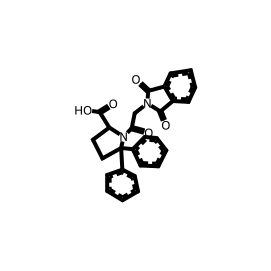 O=C(O)C1CCC(c2ccccc2)(c2ccccc2)N1C(=O)CN1C(=O)c2ccccc2C1=O